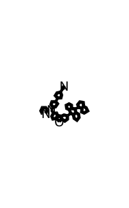 N#Cc1ccc(-c2ccc(N(c3ccc4oc5ccc(-c6c7ccccc7c(-c7cccc8ccccc78)c7ccccc67)cc5c4c3)c3ccccn3)cc2)cc1